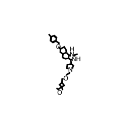 CC(=O)C1(C)CC(COCCN2CCC(C3NC(C)NC4C5CCC(OCc6ccc(C)cc6)CC5CCC34)CC2)C1